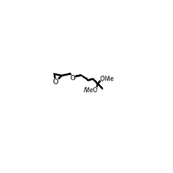 COC(C)(CCCOCC1CO1)OC